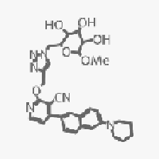 COC1OC(Cn2cc(COc3nccc(-c4ccc5cc(N6CCCCC6)ccc5c4)c3C#N)nn2)C(O)C(O)C1O